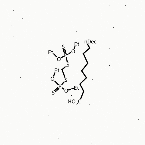 CCCCCCCCCCCCCCCCCC(=O)O.CCOP(=S)(OCC)SCSP(=S)(OCC)OCC